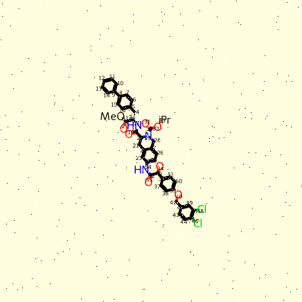 COC(=O)[C@H](Cc1ccc(-c2ccccc2)cc1)NC(=O)C1Cc2cc3c(cc2CN1C(=O)OC(C)C)OC(c1ccc(OCc2ccc(Cl)c(Cl)c2)cc1)C(=O)N3